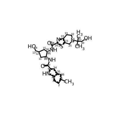 Cc1ccc2[nH]c(C(=O)N[C@@H]3CC(CO)C[C@H]3NC(=O)c3nc4c(s3)CN(C(C)(C)CO)CC4)cc2c1